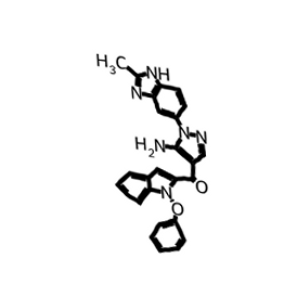 Cc1nc2cc(-n3ncc(C(=O)c4cc5ccccc5n4Oc4ccccc4)c3N)ccc2[nH]1